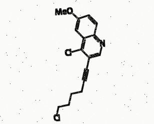 COc1ccc2ncc(C#CCCCCCl)c(Cl)c2c1